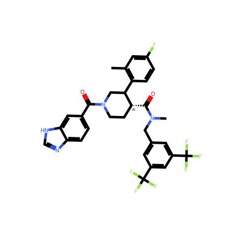 Cc1cc(F)ccc1C1CN(C(=O)c2ccc3nc[nH]c3c2)CC[C@H]1C(=O)N(C)Cc1cc(C(F)(F)F)cc(C(F)(F)F)c1